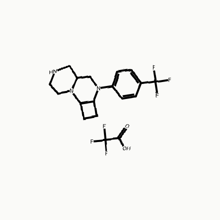 FC(F)(F)c1ccc(N2CC3CNCCN3C3CCC32)cc1.O=C(O)C(F)(F)F